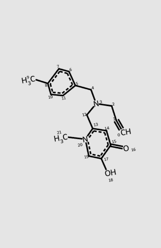 C#CCN(Cc1ccc(C)cc1)Cc1cc(=O)c(O)cn1C